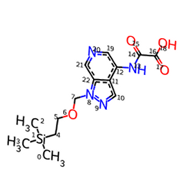 C[Si](C)(C)CCOCn1ncc2c(NC(=O)C(=O)O)cncc21